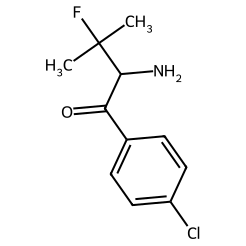 CC(C)(F)C(N)C(=O)c1ccc(Cl)cc1